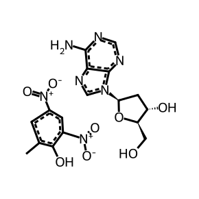 Cc1cc([N+](=O)[O-])cc([N+](=O)[O-])c1O.Nc1ncnc2c1ncn2[C@H]1C[C@H](O)[C@@H](CO)O1